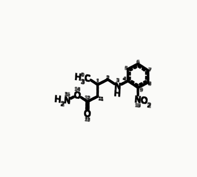 CC(CNc1ccccc1[N+](=O)[O-])CC(=O)ON